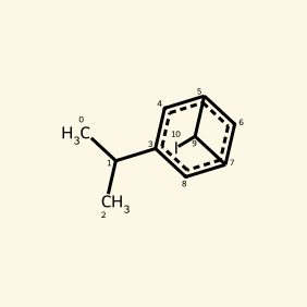 CC(C)c1cc2cc(c1)C2I